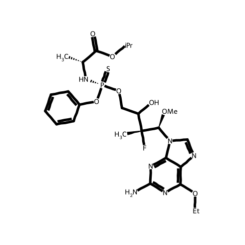 CCOc1nc(N)nc2c1ncn2[C@H](OC)[C@](C)(F)C(O)CO[P@@](=S)(N[C@H](C)C(=O)OC(C)C)Oc1ccccc1